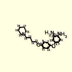 Nc1ccc(Oc2ccc(OCCCCN3CCCCC3)cc2)cc1N